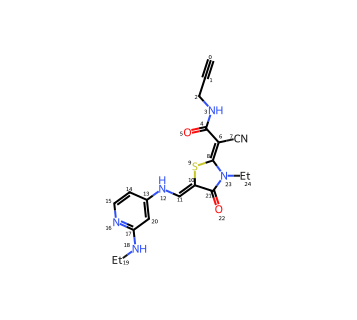 C#CCNC(=O)C(C#N)=c1sc(=CNc2ccnc(NCC)c2)c(=O)n1CC